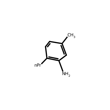 CCCc1ccc(C)cc1N